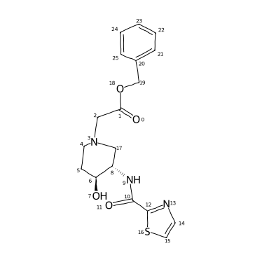 O=C(CN1CC[C@H](O)[C@@H](NC(=O)c2nccs2)C1)OCc1ccccc1